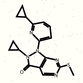 CSc1ncc2c(=O)n(C3CC3)n(-c3cccc(C4CC4)n3)c2n1